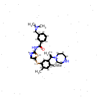 C=C(c1cc(Sc2cnc(NC(=O)c3cccc(CN(C)C)c3)s2)c(C)cc1OC)N1CCCNCC1